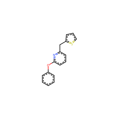 c1ccc(Oc2cccc(Cc3cccs3)n2)cc1